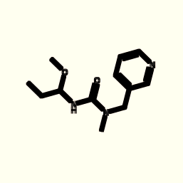 CCC(NC(=O)N(C)Cc1cccnc1)OC